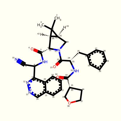 CC1(C)[C@@H]2[C@@H](C(=O)NC(C#N)c3nncc4ccccc34)N(C(=O)[C@H](Cc3ccccc3)NC(=O)[C@@H]3CCOC3)C[C@@H]21